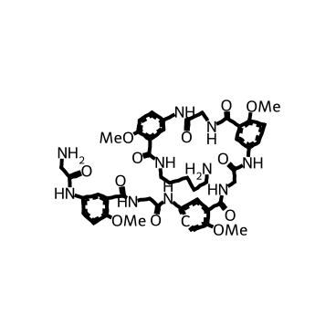 COc1ccc(NC(=O)CNC(=O)c2cc(NC(=O)CNC(=O)c3cc(NC(=O)CNC(=O)c4cc(NC(=O)CN)ccc4OC)ccc3OC)ccc2OC)cc1C(=O)NCCCCCN